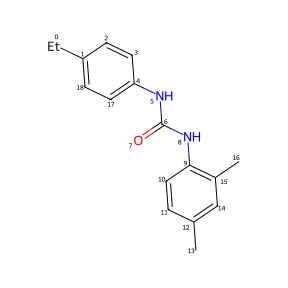 CCc1ccc(NC(=O)Nc2ccc(C)cc2C)cc1